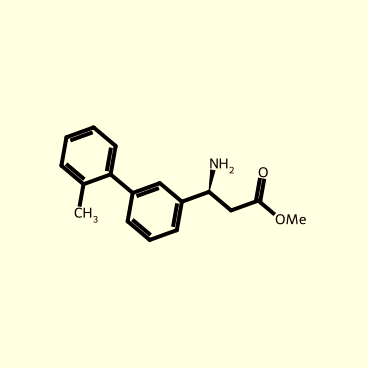 COC(=O)C[C@H](N)c1cccc(-c2ccccc2C)c1